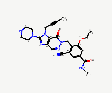 CC#CCn1c(N2CCNCC2)nc2cnn(Cc3c(C#N)cc(C(=O)NC)cc3OCC)c(=O)c21